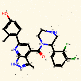 Cc1cc(O)ccc1-c1cc(C(=O)N2CCNCC2c2cccc(F)c2F)c2c(C)n[nH]c2n1